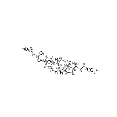 CCCCCCCCCCCC(=O)O[C@H]1CC[C@@]2(C)C(=CCC3[C@@H]4CC[C@H](CCCC(=O)O)[C@@]4(C)CC[C@@H]32)C1